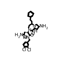 NC(=O)C[C@H](C(=O)NCc1ccc(Cl)c(Cl)c1)N1CCC(CCc2ccccc2)N2C[C@H](N)C[C@H]2C1=O